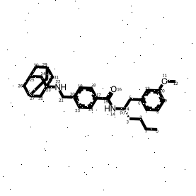 CCCC[C@@H](Cc1cccc(OC)c1)NC(=O)c1ccc(CNC23CC4CC(CC(C4)C2)C3)cc1